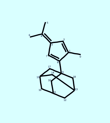 CC1=CC(=C(C)C)[C]=C1C12CC3CC(CC(C3)C1)C2